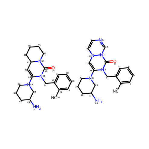 N#Cc1ccccc1CN1C(=O)N2C=NC=CN2C=C1N1CCCC(N)C1.N#Cc1ccccc1CN1C(=O)N2CCCCC2C=C1N1CCCC(N)C1